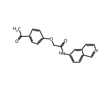 CC(=O)c1ccc(OCC(=O)Nc2ccc3cnccc3c2)cc1